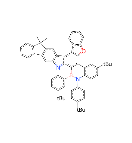 CC(C)(C)c1ccc(N2B3c4cc(C(C)(C)C)ccc4-n4c5cc6c(cc5c5c7c(oc8ccccc87)c(c3c54)-c3cc(C(C)(C)C)ccc32)C(C)(C)c2ccccc2-6)cc1